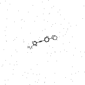 Cc1nc(C#Cc2ccc(C3CC4CCC3C4)nc2)cs1